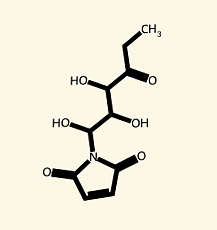 CCC(=O)C(O)C(O)C(O)N1C(=O)C=CC1=O